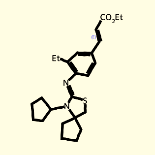 CCOC(=O)/C=C/c1ccc(N=C2SCC3(CCCC3)N2C2CCCC2)c(CC)c1